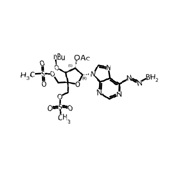 BN=Nc1ncnc2c1ncn2[C@@H]1OC(COS(C)(=O)=O)(COS(C)(=O)=O)C(OCCCC)[C@@H]1OC(C)=O